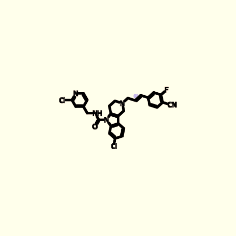 N#Cc1ccc(/C=C/CN2CCc3c(c4ccc(Cl)cc4n3C(=O)NCc3ccnc(Cl)c3)C2)cc1F